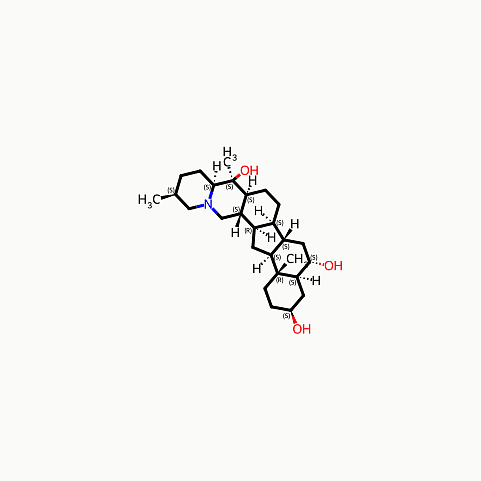 C[C@H]1CC[C@@H]2N(C1)C[C@H]1[C@@H]3C[C@H]4[C@@H](C[C@H](O)[C@H]5C[C@@H](O)CC[C@@]54C)[C@@H]3CC[C@@H]1[C@]2(C)O